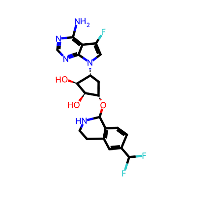 Nc1ncnc2c1c(F)cn2[C@@H]1C[C@H](OC2NCCc3cc(C(F)F)ccc32)[C@@H](O)[C@H]1O